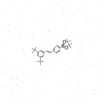 CC(C)(C)c1cc(/C=C/c2ccc(B3OC(C)(C)C(C)(C)O3)cc2)cc(C(C)(C)C)c1